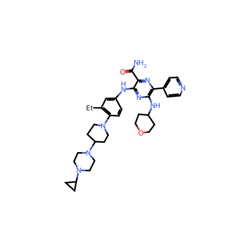 CCc1cc(Nc2nc(NC3CCOCC3)c(-c3ccncc3)nc2C(N)=O)ccc1N1CCC(N2CCN(C3CC3)CC2)CC1